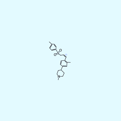 Cc1ccc(S(=O)(=O)C/C=C\c2ccc(C3CCN(C)CC3)cc2C)cc1